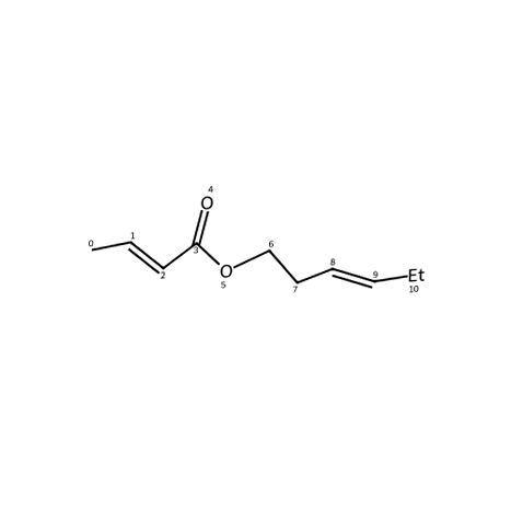 CC=CC(=O)OCCC=CCC